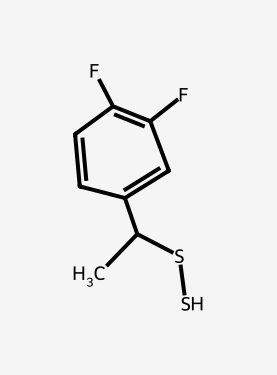 CC(SS)c1ccc(F)c(F)c1